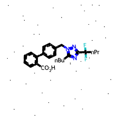 CCCCc1nc(C(F)(F)CCC)nn1Cc1ccc(-c2ccccc2C(=O)O)cc1